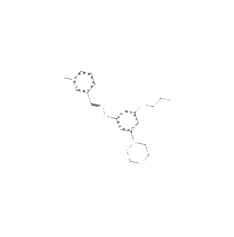 CCCOc1cc(N2CCOCC2)cc(NN=Cc2cccc(C)c2)n1